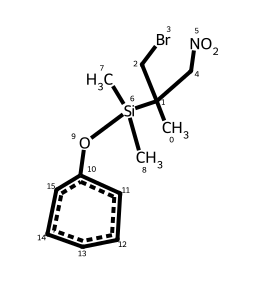 CC(CBr)(C[N+](=O)[O-])[Si](C)(C)Oc1ccccc1